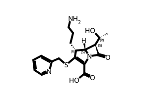 C[C@@H](O)[C@H]1C(=O)N2C(C(=O)O)=C(SCc3ccccn3)[C@H](CCCN)[C@H]12